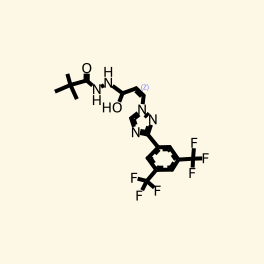 CC(C)(C)C(=O)NNC(O)/C=C\n1cnc(-c2cc(C(F)(F)F)cc(C(F)(F)F)c2)n1